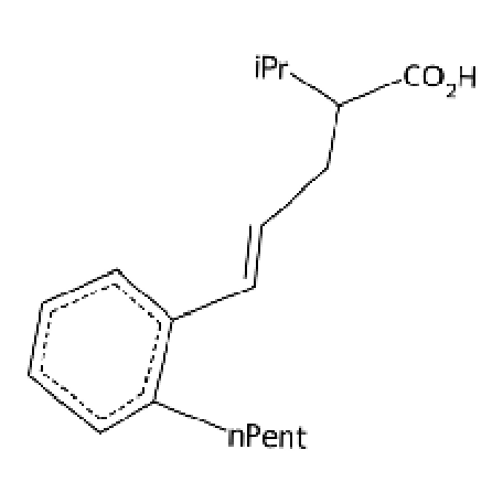 CCCCCc1ccccc1/C=C/CC(C(=O)O)C(C)C